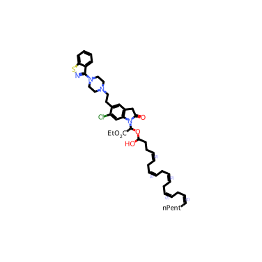 CCCCC/C=C\C/C=C\C/C=C\C/C=C\C/C=C\CCC(O)OC(C(=O)OCC)N1C(=O)Cc2cc(CCN3CCN(c4nsc5ccccc45)CC3)c(Cl)cc21